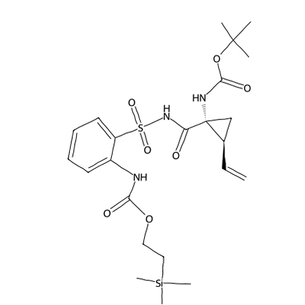 C=C[C@@H]1C[C@]1(NC(=O)OC(C)(C)C)C(=O)NS(=O)(=O)c1ccccc1NC(=O)OCC[Si](C)(C)C